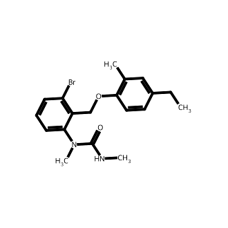 CCc1ccc(OCc2c(Br)cccc2N(C)C(=O)NC)c(C)c1